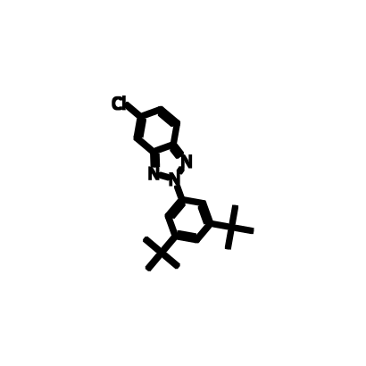 CC(C)(C)c1cc(-n2nc3ccc(Cl)cc3n2)cc(C(C)(C)C)c1